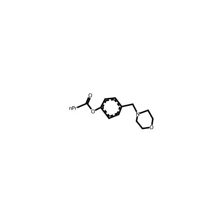 CCCC(=O)Oc1ccc(CN2CCOCC2)cc1